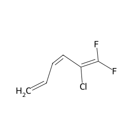 C=C/C=C\C(Cl)=C(F)F